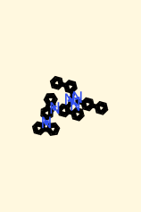 c1ccc(-c2ccc(-c3nc(-c4cccc(-c5ccccc5)c4)nc(-c4cc(-n5c6ccccc6c6ccc(-n7c8ccccc8c8ccccc87)cc65)ccc4-c4ccccc4)n3)cc2)cc1